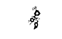 O=c1c(-c2cccc([N+](=O)[O-])c2)nc2cc(F)c(F)cc2n1Cc1ccccc1